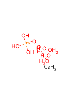 O.O.O.O.O.O=P(O)(O)O.[CaH2]